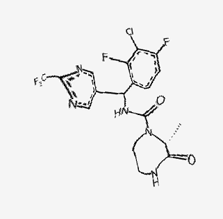 C[C@@H]1C(=O)NCCN1C(=O)NC(c1cnc(C(F)(F)F)nc1)c1ccc(F)c(Cl)c1F